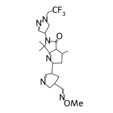 CO/N=C/C1CN=CC(C2CC(C)C3C(=O)N(C4C=NN(CC(F)(F)F)C4)C(C)(C)C3=N2)C1